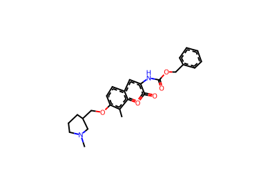 Cc1c(OCC2CCCN(C)C2)ccc2cc(NC(=O)OCc3ccccc3)c(=O)oc12